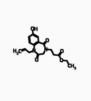 C=CCN1C(=O)CN(CCC(=O)OCC)C(=O)c2cc(O)ccc21